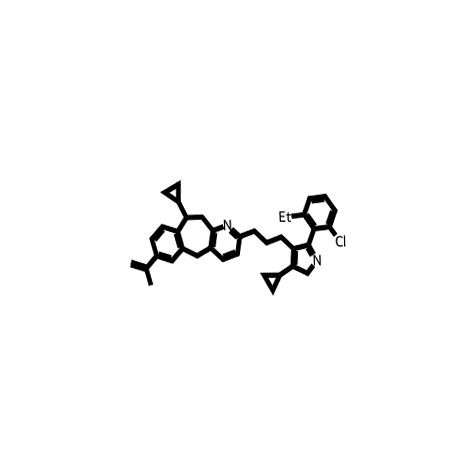 C=C(C)c1ccc2c(c1)Cc1ccc(CCCC3=C(C4CC4)CN=C3c3c(Cl)cccc3CC)nc1CC2C1CC1